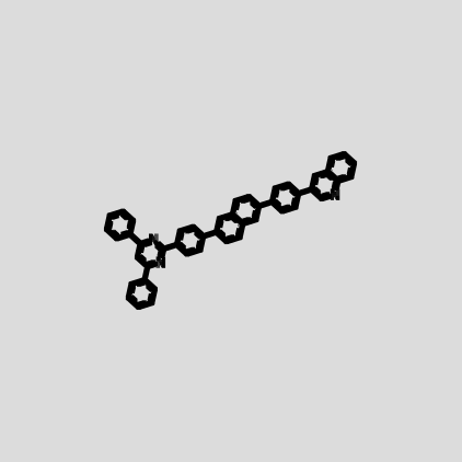 c1ccc(-c2cc(-c3ccccc3)nc(-c3ccc(-c4ccc5cc(-c6ccc(-c7cnc8ccccc8c7)cc6)ccc5c4)cc3)n2)cc1